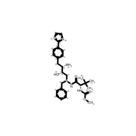 COC(=O)N[C@H](C(=O)NN(Cc1ccccc1)C[C@H](O)[C@@H](N)Cc1ccc(-c2nccs2)cc1)C(C)(C)C